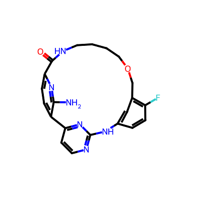 Nc1nc2ccc1-c1ccnc(n1)Nc1ccc(F)c(c1)COCCCCNC2=O